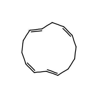 [C]1=C/C/C=C\CCC/C=C/C=C\CC/1